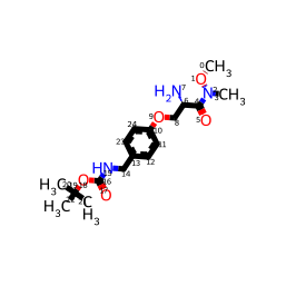 CON(C)C(=O)[C@@H](N)COc1ccc(CNC(=O)OC(C)(C)C)cc1